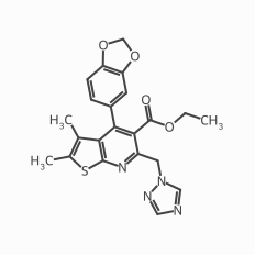 CCOC(=O)c1c(Cn2cncn2)nc2sc(C)c(C)c2c1-c1ccc2c(c1)OCO2